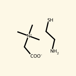 C[N+](C)(C)CC(=O)[O-].NCCS